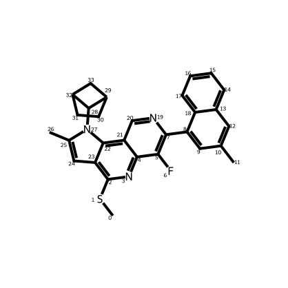 CSc1nc2c(F)c(-c3cc(C)cc4ccccc34)ncc2c2c1cc(C)n2C1C2CCC1C2